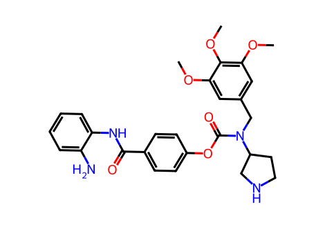 COc1cc(CN(C(=O)Oc2ccc(C(=O)Nc3ccccc3N)cc2)C2CCNC2)cc(OC)c1OC